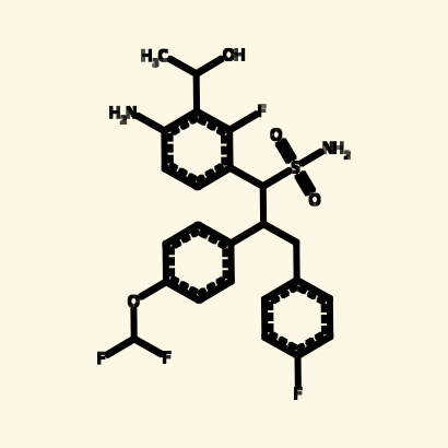 CC(O)c1c(N)ccc(C(C(Cc2ccc(F)cc2)c2ccc(OC(F)F)cc2)S(N)(=O)=O)c1F